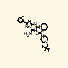 CC(F)(F)CN1CCN(C(=O)[C@@H]2CCCCN2c2nc(N)n3nc(-c4ccco4)nc3n2)CC1